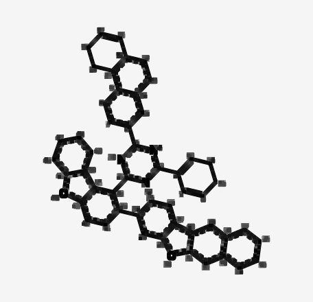 C1=CC(c2nc(-c3ccc4c5c(ccc4c3)C=CCC5)nc(-c3c(-c4ccc5c(c4)oc4cc6ccccc6cc45)ccc4oc5ccccc5c34)n2)=CCC1